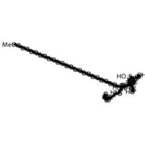 COCCOCCOCCOCCOCCOCCOCCOCCOCCOCCOCCOCCOCCOCCOCCOCCOCCOCCOCCOCCOCCOCCOCCOCCNC(=O)C(CCC(=O)NCCCCCC(=O)ON1C(=O)CCC1=O)NC(=O)COc1cc(SOOO)c2ccc3c(SOOO)cc(S(=O)(=O)O)c4ccc1c2c34